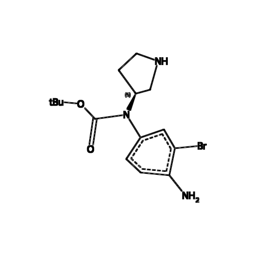 CC(C)(C)OC(=O)N(c1ccc(N)c(Br)c1)[C@H]1CCNC1